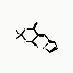 CC1(C)OC(=O)C(=Cc2ccco2)C(=O)O1